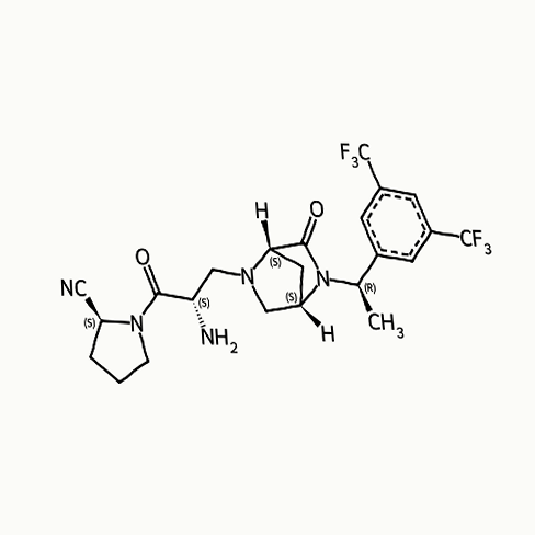 C[C@H](c1cc(C(F)(F)F)cc(C(F)(F)F)c1)N1C(=O)[C@@H]2C[C@H]1CN2C[C@H](N)C(=O)N1CCC[C@H]1C#N